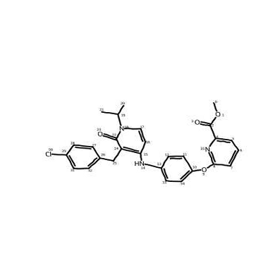 COC(=O)c1cccc(Oc2ccc(Nc3ccn(C(C)C)c(=O)c3Cc3ccc(Cl)cc3)cc2)n1